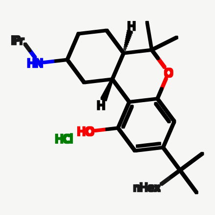 CCCCCCC(C)(C)c1cc(O)c2c(c1)OC(C)(C)[C@@H]1CCC(NC(C)C)C[C@@H]21.Cl